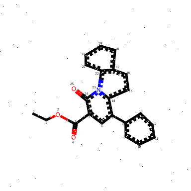 CCOC(=O)c1cc(-c2ccccc2)c2ccc3ccccc3n2c1=O